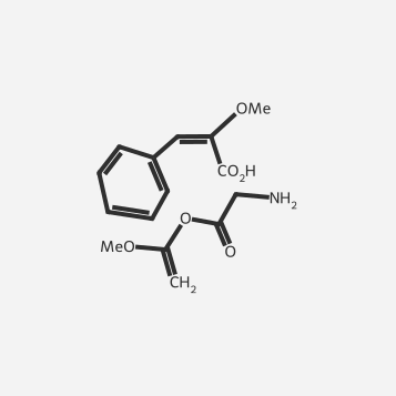 C=C(OC)OC(=O)CN.COC(=Cc1ccccc1)C(=O)O